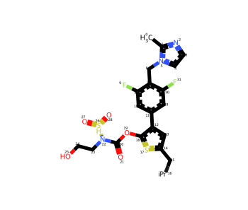 Cc1nccn1Cc1c(F)cc(-c2cc(CC(C)C)sc2OC(=O)N(CCO)[SH](=O)=O)cc1F